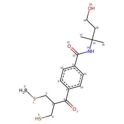 BSCC(CS)C(=O)c1ccc(C(=O)NC(C)(C)CCO)cc1